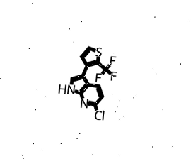 FC(F)(F)c1sccc1-c1c[nH]c2nc(Cl)ccc12